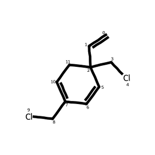 C=CC1(CCl)C=CC(CCl)=CC1